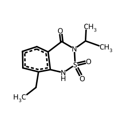 CCc1cccc2c1NS(=O)(=O)N(C(C)C)C2=O